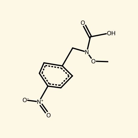 CON(Cc1ccc([N+](=O)[O-])cc1)C(=O)O